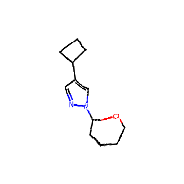 c1nn(C2CCCCO2)cc1C1CCC1